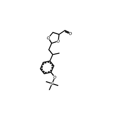 CC(CC1OCC(C=O)O1)c1cccc(O[Si](C)(C)C)c1